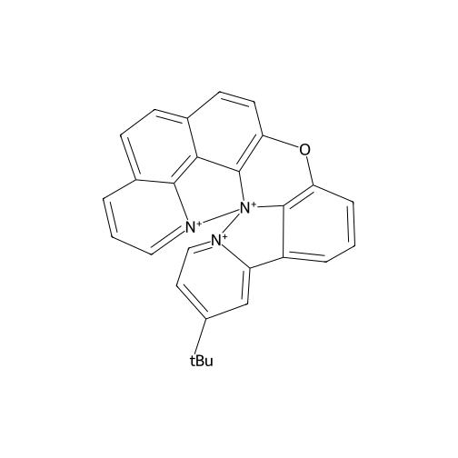 CC(C)(C)c1cc[n+]2c(c1)-c1cccc3c1[N+]21c2c(ccc4ccc5ccc[n+]1c5c24)O3